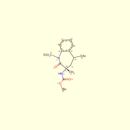 CCOC(=O)N1C(=O)[C@@](C)(NC(=O)OC(C)(C)C)CC(OC(C)=O)c2ccccc21